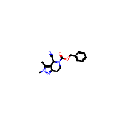 Cc1c2c(nn1C)CCN(C(=O)OCc1ccccc1)C2C#N